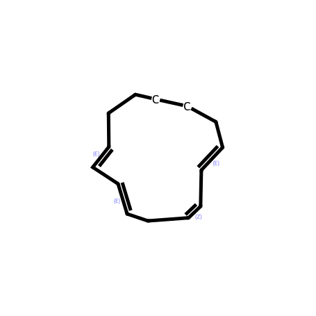 C1=C\C/C=C/C=C/CCCCC/C=C/1